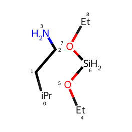 CC(C)CCN.CCO[SiH2]OCC